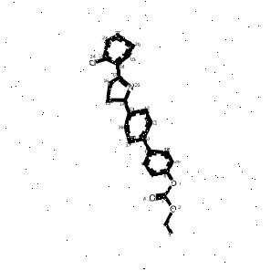 CCOC(=O)Oc1ccc(-c2ccc(C3CCC(c4ccccc4Cl)=N3)cc2)cc1